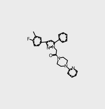 Cc1cc(-c2cc(-c3ccccc3)n(CC(=O)N3CCN(c4ccccn4)CC3)n2)ccc1F